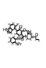 C=CC(=O)N1CCN2C(=O)c3c(Nc4ccccc4C(C)C)cc(-c4c(C)ccc5[nH]ncc45)c(Cl)c3OC[C@H]2C1